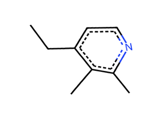 CCc1ccnc(C)c1C